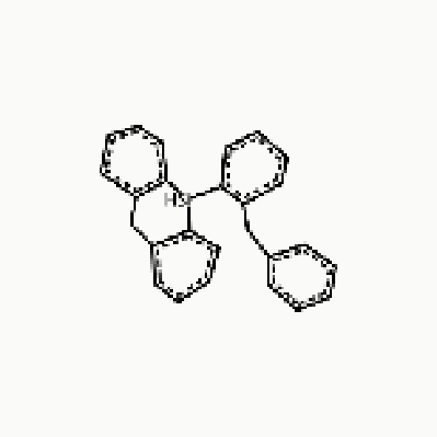 c1ccc(Cc2ccccc2[SiH]2c3ccccc3Cc3ccccc32)cc1